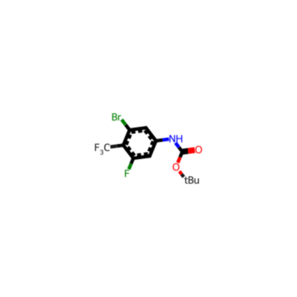 CC(C)(C)OC(=O)Nc1cc(F)c(C(F)(F)F)c(Br)c1